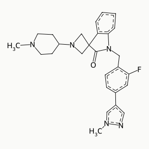 CN1CCC(N2CC3(C2)C(=O)N(Cc2ccc(-c4cnn(C)c4)cc2F)c2ccccc23)CC1